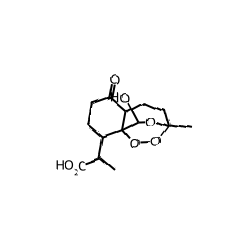 CC(C(=O)O)C1CCC(=O)C2CCC3(C)OOC21C(O)O3